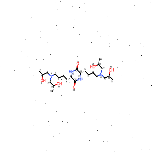 C[C@H](O)CN(CCCC[C@@H]1NC(=O)[C@H](CCCCN(C[C@H](C)O)C[C@H](C)O)NC1=O)C[C@H](C)O